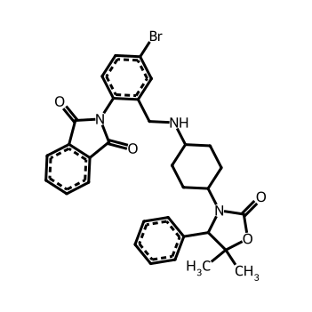 CC1(C)OC(=O)N(C2CCC(NCc3cc(Br)ccc3N3C(=O)c4ccccc4C3=O)CC2)C1c1ccccc1